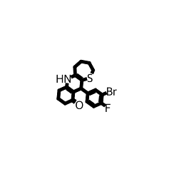 O=C1CCCC2=C1C(c1ccc(F)c(Br)c1)C1=C(CCCCS1)N2